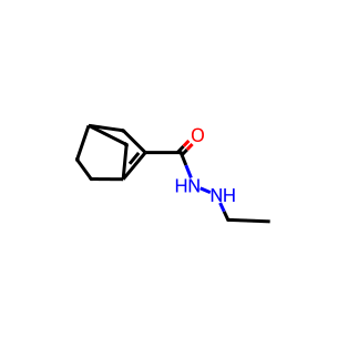 CCNNC(=O)C1=C2CCC(C2)C1